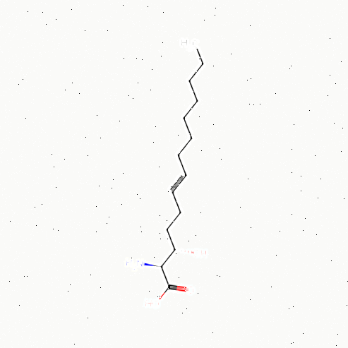 CCCCCCC/C=C/CC[C@H](O)[C@H](N)C(=O)O